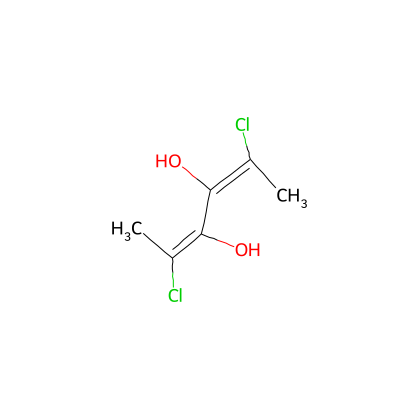 C/C(Cl)=C(O)\C(O)=C(/C)Cl